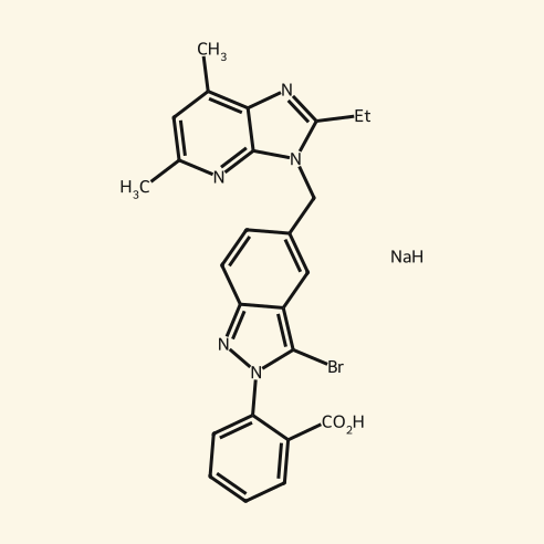 CCc1nc2c(C)cc(C)nc2n1Cc1ccc2nn(-c3ccccc3C(=O)O)c(Br)c2c1.[NaH]